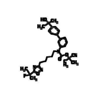 CC(C)(C#N)OC(=O)N(CCCCCc1noc(C(C)(C)F)n1)c1cccc(-c2ccc(C(C)(C)O)cc2)c1